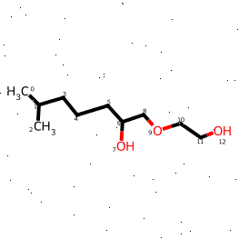 CC(C)CCCC(O)COCCO